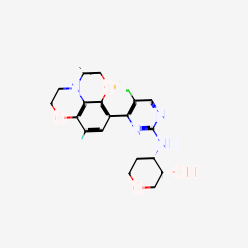 C[C@H]1COc2c(-c3nc(N[C@@H]4CCOC[C@H]4O)ncc3Cl)cc(F)c3c2N1CCO3